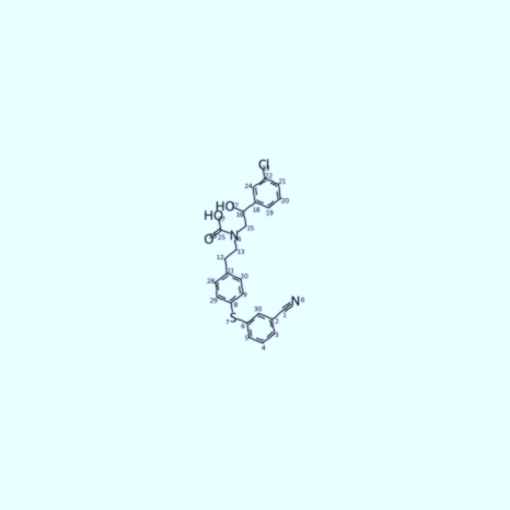 N#Cc1cccc(Sc2ccc(CCN(CC(O)c3cccc(Cl)c3)C(=O)O)cc2)c1